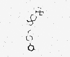 CC(=O)N(C)C1(C(=O)N2CCC3(CC2)C[C@H](CCN2CCN(c4cccc(Cl)c4)CC2)NC3=O)COC1